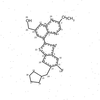 COc1cnc2c(-c3nc4cc(F)c(CC5CCCC5)cc4s3)cc(CO)cc2n1